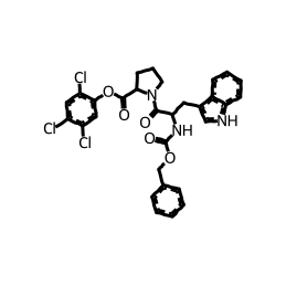 O=C(NC(Cc1c[nH]c2ccccc12)C(=O)N1CCCC1C(=O)Oc1cc(Cl)c(Cl)cc1Cl)OCc1ccccc1